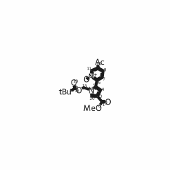 COC(=O)c1cc(-c2ccc(C(C)=O)c[n+]2[O-])n(COC(=O)C(C)(C)C)c1